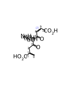 C=C(CC(=O)OC(=O)/C=C\C(=O)O)C(=O)O.[NaH].[NaH].[NaH]